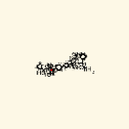 NC(=O)O[C@@H](C(=O)O[C@]12c3ncc([nH]3)C1(c1ccc(-c3ccc(C45CCN(O)[C@@]4(OC(=O)[C@H](O)c4ccccc4)c4ncc5[nH]4)cc3)cc1)CCN2OC(N)=O)c1ccccc1